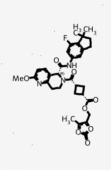 COc1ccc2c(n1)CCN(C(=O)[C@H]1C[C@@H](C(=O)OCc3oc(=O)oc3C)C1)[C@H]2C(=O)Nc1cc(F)c2c(c1)CCC2(C)C